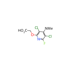 CNc1c(Cl)c(F)nc(OCC(=O)O)c1Cl